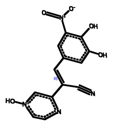 N#C/C(=C\c1cc(O)c(O)c([N+](=O)[O-])c1)c1c[n+](O)ccn1